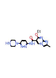 CCOc1nc2nc(C)cn2cc1C(=O)Nc1ccc(N2CCNCC2)nn1